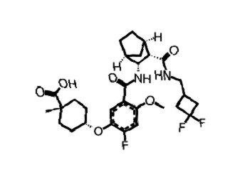 COc1cc(F)c(O[C@H]2CC[C@@](C)(C(=O)O)CC2)cc1C(=O)N[C@@H]1[C@H]2CC[C@H](C2)[C@@H]1C(=O)NCC1CC(F)(F)C1